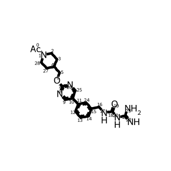 CC(=O)N1CCC(COc2ncc(-c3cccc(CNC(=O)NC(=N)N)c3)cn2)CC1